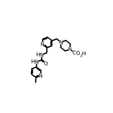 Cc1ccc(NC(=O)NCc2cc(CN3CCN(C(=O)O)CC3)ccn2)cn1